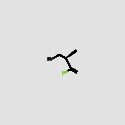 C=C(F)[C@H](C)CC(C)C